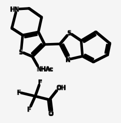 CC(=O)Nc1sc2c(c1-c1nc3ccccc3s1)CCNC2.O=C(O)C(F)(F)F